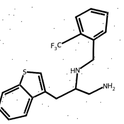 NCC(Cc1csc2ccccc12)NCc1ccccc1C(F)(F)F